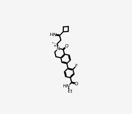 CCNC(=O)c1ccc(-c2ccc3c(c2)CCN([C@H](C)CC(=N)C2CCC2)C3=O)c(F)c1